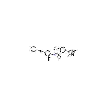 Cc1nn(C)cc1-c1ccc(Cl)c(C(=O)/C=C/c2ccc(C#Cc3ccccc3)cc2F)c1